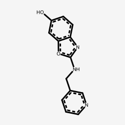 Oc1ccc2nc(NCc3cccnc3)oc2c1